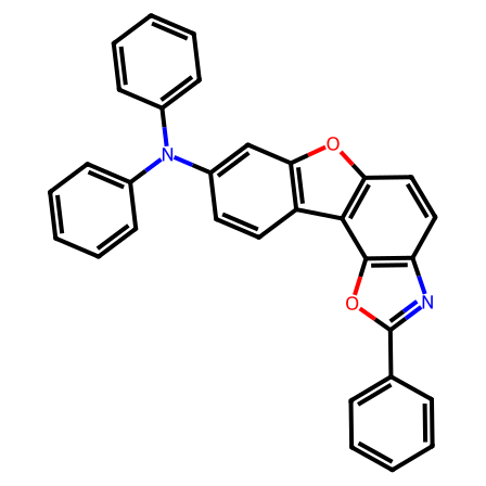 c1ccc(-c2nc3ccc4oc5cc(N(c6ccccc6)c6ccccc6)ccc5c4c3o2)cc1